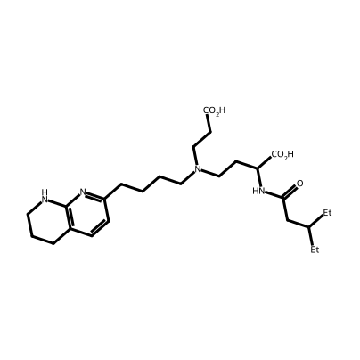 CCC(CC)CC(=O)NC(CCN(CCCCc1ccc2c(n1)NCCC2)CCC(=O)O)C(=O)O